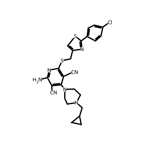 N#Cc1c(N)nc(SCc2csc(-c3ccc(Cl)cc3)n2)c(C#N)c1N1CCN(CC2CC2)CC1